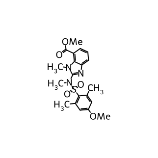 COC(=O)c1cccc2nc(N(C)S(=O)(=O)c3c(C)cc(OC)cc3C)n(C)c12